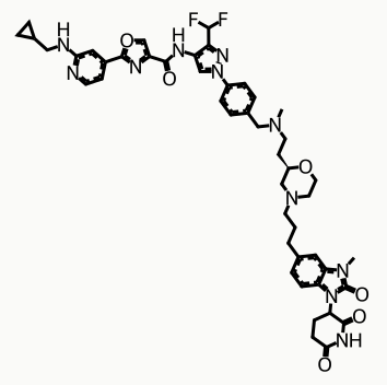 CN(CC[C@@H]1CN(CCCc2ccc3c(c2)n(C)c(=O)n3C2CCC(=O)NC2=O)CCO1)Cc1ccc(-n2cc(NC(=O)c3coc(-c4ccnc(NCC5CC5)c4)n3)c(C(F)F)n2)cc1